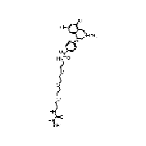 CCCNC(=O)NCCOCCOCCOCCNS(=O)(=O)c1ccc([C@@H]2CN(C)Cc3c(Cl)cc(Cl)cc32)cc1